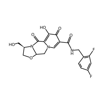 O=C(NCc1ccc(F)cc1F)c1cn2c(c(O)c1=O)C(=O)N1C(C2)OC[C@H]1CO